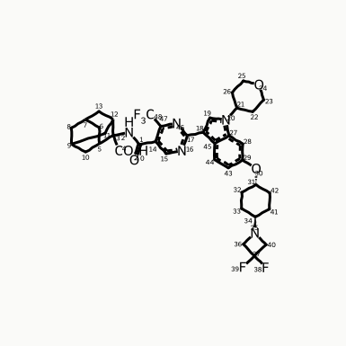 O=C(NC1(C(=O)O)C2CC3CC(C2)CC1C3)c1cnc(-c2cn(C3CCOCC3)c3cc(O[C@H]4CC[C@H](N5CC(F)(F)C5)CC4)ccc23)nc1C(F)(F)F